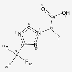 CC(C(=O)O)n1cnc(C(F)(F)F)n1